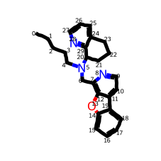 CCCCCN(Cc1nccc2c1oc1ccccc12)C1CCCc2cccnc21